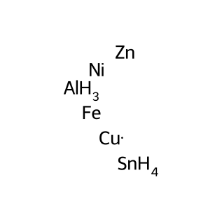 [AlH3].[Cu].[Fe].[Ni].[SnH4].[Zn]